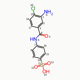 Nc1cc(C(=O)Nc2ccc(S(=O)(=O)O)cc2)ccc1Cl